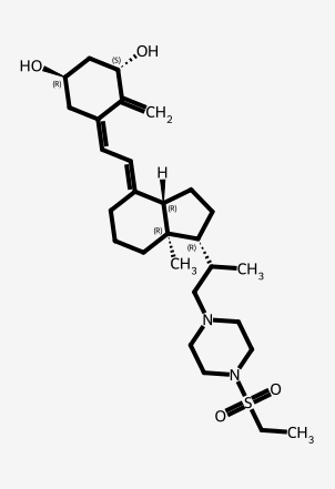 C=C1C(=CC=C2CCC[C@]3(C)[C@@H](C(C)CN4CCN(S(=O)(=O)CC)CC4)CC[C@@H]23)C[C@@H](O)C[C@@H]1O